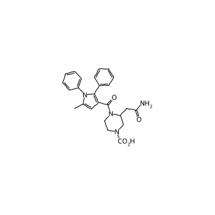 Cc1cc(C(=O)N2CCN(C(=O)O)CC2CC(N)=O)c(-c2ccccc2)n1-c1ccccc1